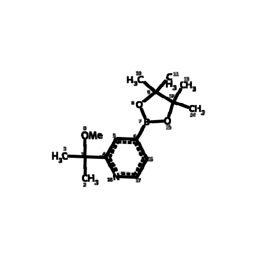 COC(C)(C)c1cc(B2OC(C)(C)C(C)(C)O2)ccn1